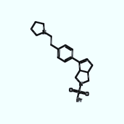 CC(C)S(=O)(=O)N1CC2CC=C(c3ccc(CCN4CCCC4)cc3)C2C1